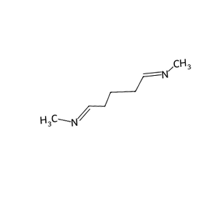 CN=CCCCC=NC